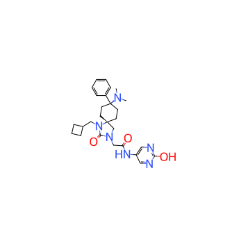 CN(C)[C@]1(c2ccccc2)CC[C@@]2(CC1)CN(CC(=O)Nc1cnc(O)nc1)C(=O)N2CC1CCC1